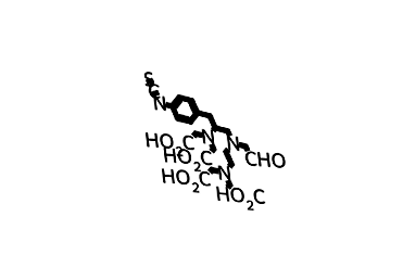 O=CCN(CCN(CC(=O)O)CC(=O)O)CC(Cc1ccc(N=C=S)cc1)N(CC(=O)O)CC(=O)O